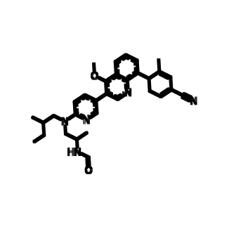 CCC(C)CN(CC(C)NC=O)c1ccc(-c2cnc3c(C4CC=C(C#N)C=C4C)cccc3c2OC)cn1